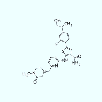 CC(CO)c1ccc(-c2cc(C(N)=O)c(Nc3cccc(CN4CCN(C)C(=O)C4)n3)s2)c(F)c1